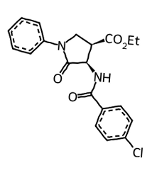 CCOC(=O)[C@@H]1CN(c2ccccc2)C(=O)[C@@H]1NC(=O)c1ccc(Cl)cc1